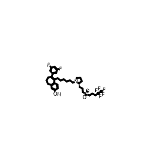 O=S(=O)(CCC[C@@H]1CCCN1CCCCCCC1=C(c2cc(F)cc(F)c2)CCCc2cc(O)ccc21)CCCC(F)(F)C(F)(F)F